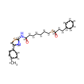 Cc1ccc(-c2csc(NC(=O)CCCCCCSC(=O)CCc3ccccc3)n2)cc1